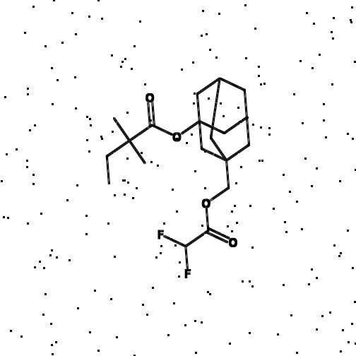 CCC(C)(C)C(=O)OC12CC3CC(CC(COC(=O)C(F)F)(C3)C1)C2